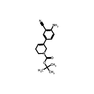 CC(C)(C)OC(=O)N1CCC=C(c2ccc(N)c(C#N)c2)C1